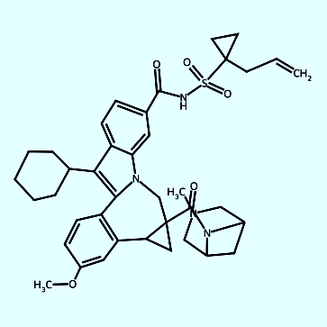 C=CCC1(S(=O)(=O)NC(=O)c2ccc3c(C4CCCCC4)c4n(c3c2)CC2(C(=O)N3C5CC3CN(C)C5)CC2c2cc(OC)ccc2-4)CC1